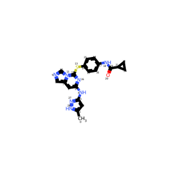 Cc1cc(Nc2cc3cncn3c(Sc3ccc(NC(=O)C4CC4)cc3)n2)n[nH]1